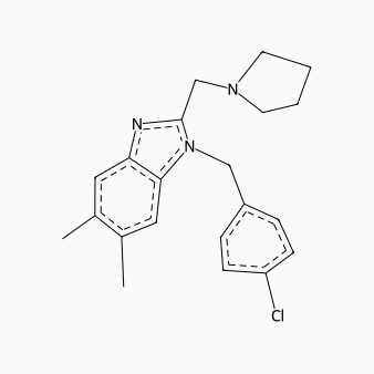 Cc1cc2nc(CN3CCCC3)n(Cc3ccc(Cl)cc3)c2cc1C